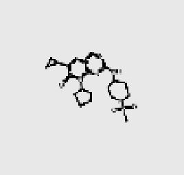 CS(=O)(=O)N1CCC(Nc2ncc3cc(C4CC4)c(=O)n(C4CCCC4)c3n2)CC1